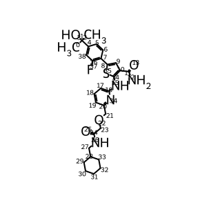 CC(C)(O)c1ccc(-c2cc(C(N)=O)c(Nc3cccc(COCC(=O)NCC4CCCCC4)n3)s2)c(F)c1